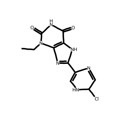 CCn1c(=O)[nH]c(=O)c2[nH]c(C3=CNC(Cl)C=N3)nc21